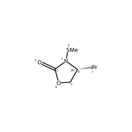 CSN1C(=O)OC[C@H]1C(C)C